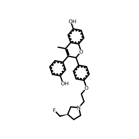 CC1=C(c2cccc(O)c2)C(c2ccc(OCCN3CC[C@@H](CF)C3)cc2)Oc2ccc(O)cc21